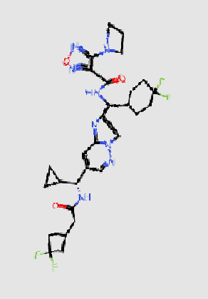 O=C(CC1CC(F)(F)C1)N[C@@H](c1cnn2cc(C(NC(=O)c3nonc3N3CCC3)C3CCC(F)(F)CC3)nc2c1)C1CC1